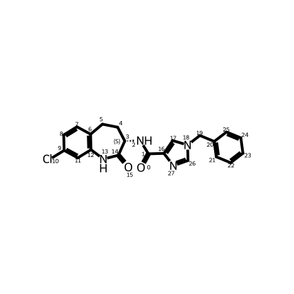 O=C(N[C@H]1CCc2ccc(Cl)cc2NC1=O)c1cn(Cc2ccccc2)cn1